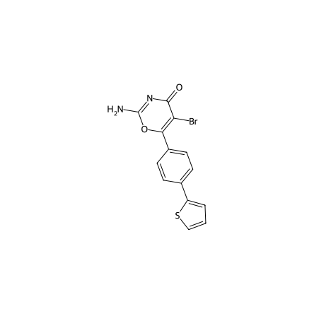 Nc1nc(=O)c(Br)c(-c2ccc(-c3cccs3)cc2)o1